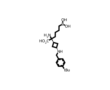 CC(C)(C)c1ccc(CN[C@H]2C[C@H](C(N)(CCCCB(O)O)C(=O)O)C2)cc1